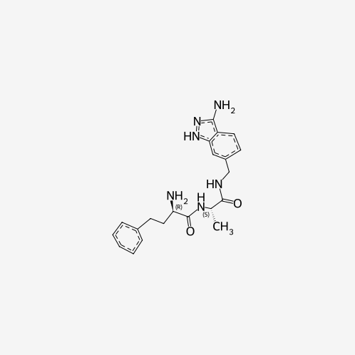 C[C@H](NC(=O)[C@H](N)CCc1ccccc1)C(=O)NCc1ccc2c(N)n[nH]c2c1